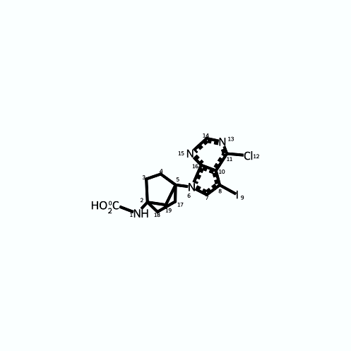 O=C(O)NC12CCC(n3cc(I)c4c(Cl)ncnc43)(CC1)C2